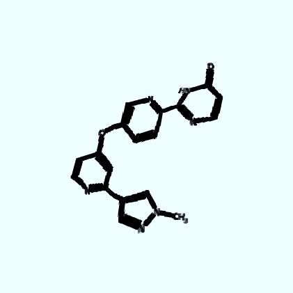 Cn1cc(-c2cc(Oc3ccc(-c4nccc(=O)[nH]4)nc3)ccn2)cn1